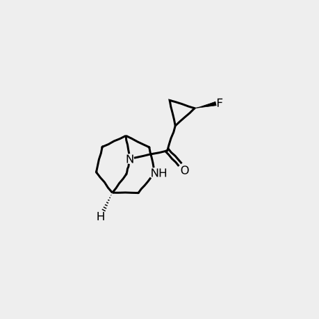 O=C(C1C[C@H]1F)N1C[C@@H]2CCC1CNC2